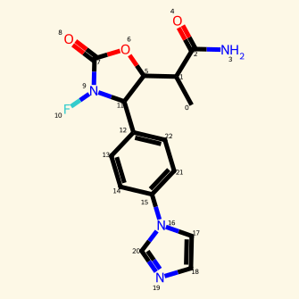 CC(C(N)=O)C1OC(=O)N(F)C1c1ccc(-n2ccnc2)cc1